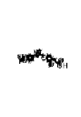 COc1cc(OCc2cc(-c3ccc(OC(F)(F)F)cc3)nn2C)ccc1CCC(=O)O